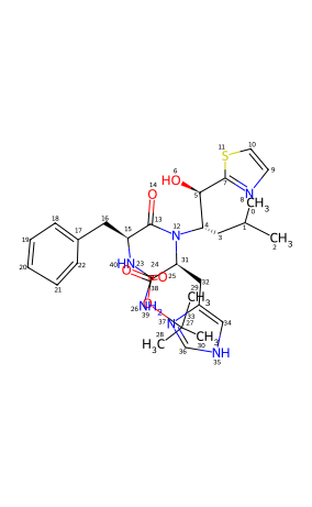 CC(C)C[C@@H]([C@@H](O)c1nccs1)N(C(=O)[C@H](Cc1ccccc1)NC(=O)OC(C)(C)C)[C@@H](Cc1c[nH]cn1)C(N)=O